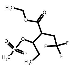 CCOC(=O)C(CC(F)(F)F)C(CC)OS(C)(=O)=O